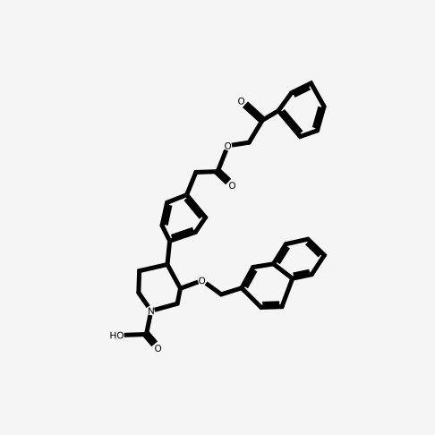 O=C(Cc1ccc(C2CCN(C(=O)O)CC2OCc2ccc3ccccc3c2)cc1)OCC(=O)c1ccccc1